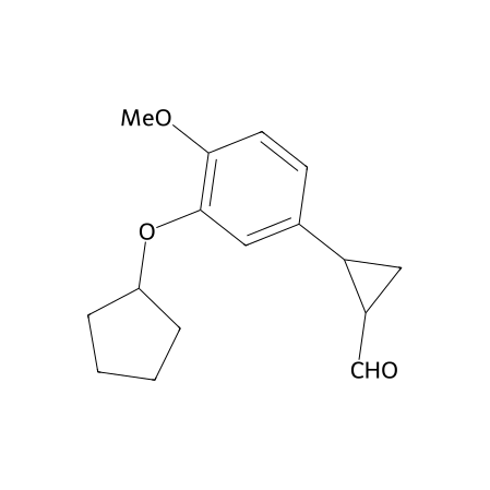 COc1ccc(C2CC2C=O)cc1OC1CCCC1